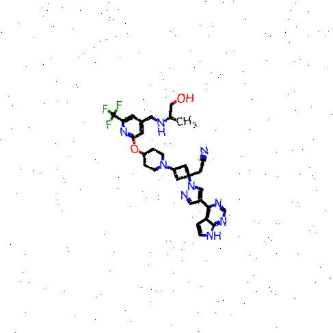 CC(CO)NCc1cc(OC2CCN(C3CC(CC#N)(n4cc(-c5ncnc6[nH]ccc56)cn4)C3)CC2)nc(C(F)(F)F)c1